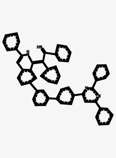 N=C(/C(=C1\NC(c2ccccc2)=Cc2ccc(-c3cccc(-c4ccc(-c5cc(-c6ccccc6)nc(-c6ccccc6)n5)cc4)c3)cc21)c1ccccc1)c1ccccc1